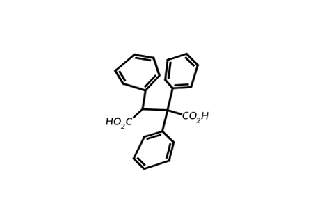 O=C(O)C(c1ccccc1)C(C(=O)O)(c1ccccc1)c1ccccc1